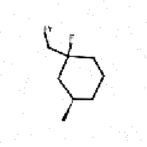 CC(C)C[C@]1(F)CCC[C@@H](C)C1